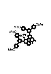 COc1ccc(-c2cc(-c3ccc(OC)cc3)cc(-c3cc4c(c5c3OP(=O)(O)OC3C(c6cc(-c7ccc(OC)cc7)cc(-c7ccc(OC)cc7)c6)Cc6ccccc6[C@H]53)CC(C)C(C)C4)c2)cc1